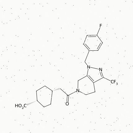 O=C(C[C@H]1CC[C@@H](C(=O)O)CC1)N1CCc2c(C(F)(F)F)nn(Cc3ccc(F)cc3)c2C1